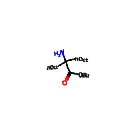 CCCCCCCCC(N)(CCCCCCCC)C(=O)OCC(C)C